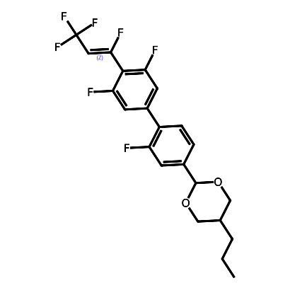 CCCC1COC(c2ccc(-c3cc(F)c(/C(F)=C/C(F)(F)F)c(F)c3)c(F)c2)OC1